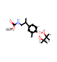 Cc1cc(C(C)CNC(=O)OC(C)(C)C)ccc1B1OC(C)(C)C(C)(C)O1